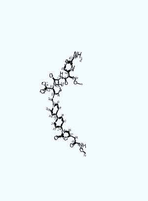 CO/N=C(\C(=O)N[C@@H]1C(=O)N2C(C(=O)[O-])=C(C[n+]3ccc(-c4ccc(-n5cc(CC(=O)NOC)oc5=O)cc4)cc3)CS[C@@H]12)c1csc(N)n1